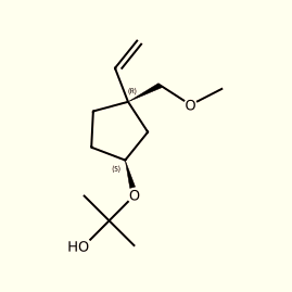 C=C[C@@]1(COC)CC[C@H](OC(C)(C)O)C1